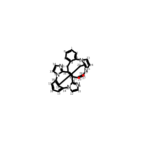 c1ccc2c(c1)Cc1c3c4nccn4c4cccc(c4Cc4n-2cc[n+]4-c2ccccc2-3)n2ccnc12